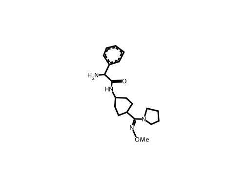 CON=C(C1CCC(NC(=O)C(N)c2ccccc2)CC1)N1CCCC1